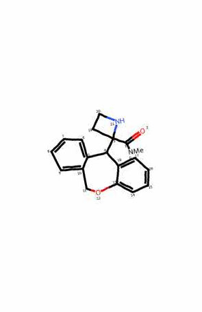 CNC(=O)C1(C2c3ccccc3COc3ccccc32)CCN1